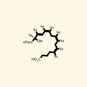 [2H]C(/C=C(\[2H])[C@@]([2H])(O)CCCCC)=C(\[2H])C/C([2H])=C(/[2H])C/C([2H])=C(/[2H])CCCC(=O)O